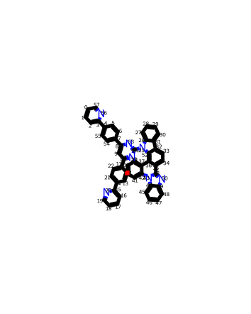 c1ccc(-c2ccc(-c3cc(-c4ccc(-c5ccccn5)cc4)nc(-n4c5ccccc5c5ccc6c(c7ccccc7n7c8ccccc8nc67)c54)n3)cc2)nc1